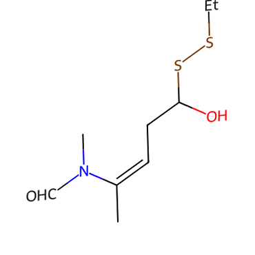 CCSSC(O)CC=C(C)N(C)C=O